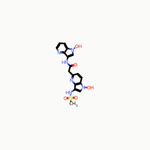 CS(=O)(=O)Nc1cn(O)c2ccc(CC(=O)Nc3cn(O)c4cccnc34)nc12